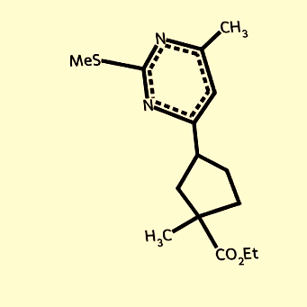 CCOC(=O)C1(C)CCC(c2cc(C)nc(SC)n2)C1